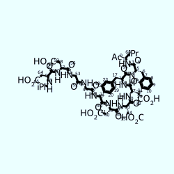 CC(=O)[C@@H](NC(=O)[C@H](Cc1ccccc1)NC(=O)[C@H](Cc1ccccc1)NC(=O)[C@H](CC(=O)O)NC(=O)[C@H](CC(=O)O)NC(=O)[C@H](CC(=O)O)NC(=O)CNC(=O)CNC(=O)CNC(=O)[C@H](CC(=O)O)NC(=O)[C@H](CC(=O)O)NC(C)C)C(C)C